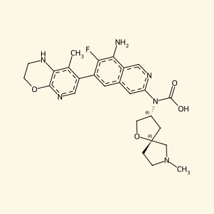 Cc1c(-c2cc3cc(N(C(=O)O)[C@H]4CO[C@]5(CCN(C)C5)C4)ncc3c(N)c2F)cnc2c1NCCO2